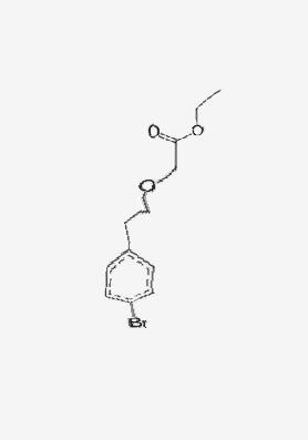 CCOC(=O)COCCc1ccc(Br)cc1